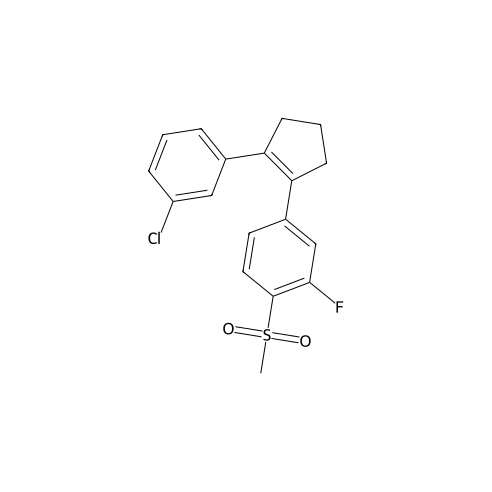 CS(=O)(=O)c1ccc(C2=C(c3cccc(Cl)c3)CCC2)cc1F